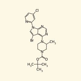 CC1CN(C(=O)OC(C)(C)C)CCN1c1ncnc2c1c(Br)cn2-c1cc(Cl)ccn1